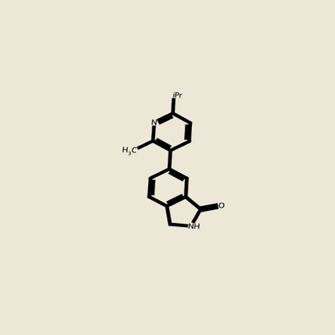 Cc1nc(C(C)C)ccc1-c1ccc2c(c1)C(=O)NC2